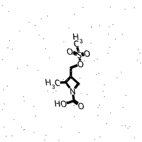 CC1C(COS(C)(=O)=O)CN1C(=O)O